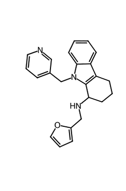 c1cncc(Cn2c3c(c4ccccc42)CCCC3NCc2ccco2)c1